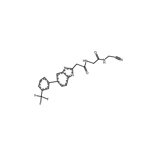 N#CCNC(=O)CNC(=O)Cc1nc2cc(-c3cccc(C(F)(F)F)c3)ccc2s1